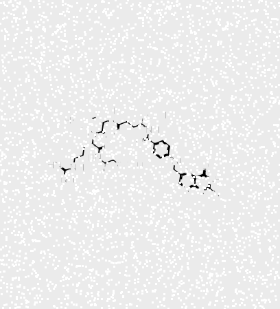 C[C@H](CC(=O)O)NC(=O)[C@H](CCCNC(=N)N)NC(=O)[C@H](CC(=O)O)NC(=O)CC[C@H](NC(=O)c1ccc(NCc2cnc3nc(N)[nH]c(=O)c3n2)cc1)C(=O)O